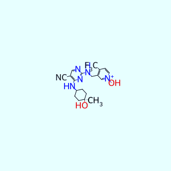 C[C@]1(O)CC[C@@H](Nc2nc(NCc3c[n+](O)ccc3C(F)(F)F)ncc2C#N)CC1